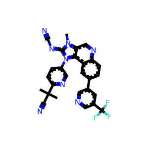 Cn1c(=NC#N)n(-c2ccc(C(C)(C)C#N)nc2)c2c3cc(-c4cncc(C(F)(F)F)c4)ccc3ncc21